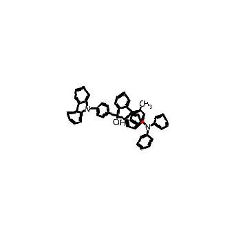 Cc1cc(N(c2ccccc2)c2ccccc2)ccc1-c1ccccc1C(O)(c1ccccc1)c1ccc(-n2c3ccccc3c3ccccc32)cc1